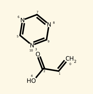 C=CC(=O)O.c1ncncn1